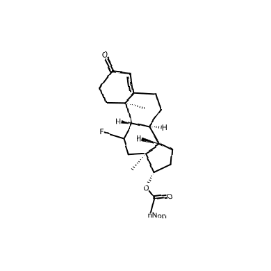 CCCCCCCCCC(=O)O[C@H]1CC[C@H]2[C@@H]3CCC4=CC(=O)CC[C@]4(C)[C@H]3C(F)C[C@]12C